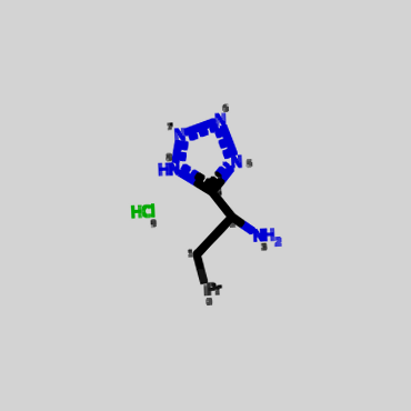 CC(C)CC(N)c1nnn[nH]1.Cl